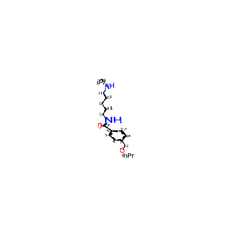 CCCOCc1ccc(C(=O)NCCCCCNC(C)C)cc1